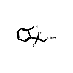 CCCCCCCCC(CC)(CC)c1ccccc1O